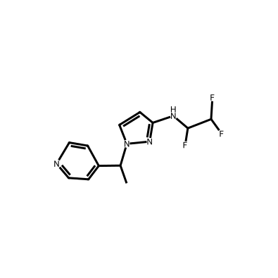 CC(c1ccncc1)n1ccc(NC(F)C(F)F)n1